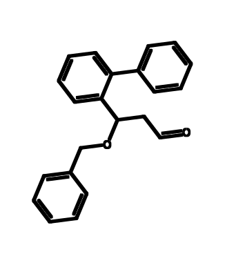 O=CCC(OCc1ccccc1)c1ccccc1-c1ccccc1